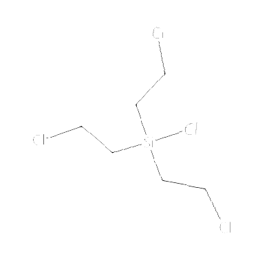 ClCC[Si](Cl)(CCCl)CCCl